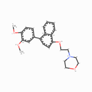 COc1ccc(-c2ccc(OCCN3CCOCC3)c3ccccc23)cc1OC